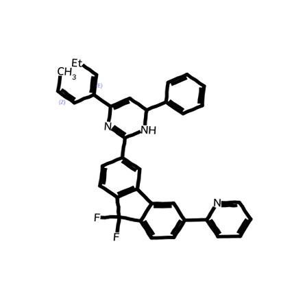 C/C=C\C(=C/CC)C1=CC(c2ccccc2)NC(c2ccc3c(c2)-c2cc(-c4ccccn4)ccc2C3(F)F)=N1